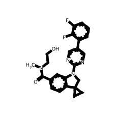 CN(CCO)C(=O)c1ccc2c(c1)N(c1ncc(-c3cccc(F)c3F)cn1)CC21CC1